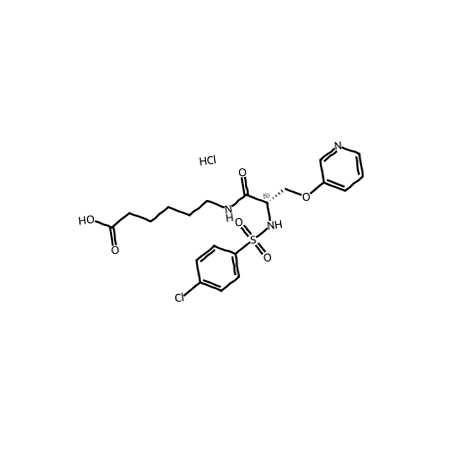 Cl.O=C(O)CCCCCNC(=O)[C@H](COc1cccnc1)NS(=O)(=O)c1ccc(Cl)cc1